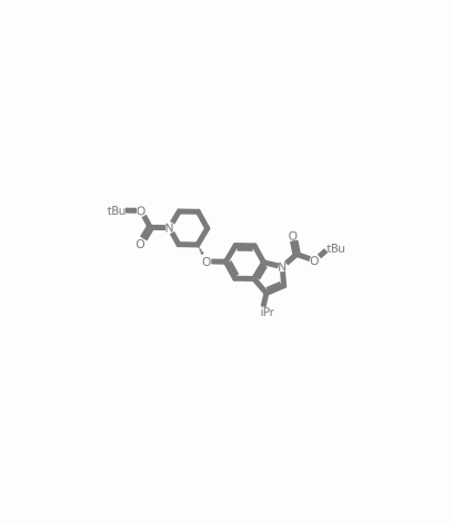 CC(C)c1cn(C(=O)OC(C)(C)C)c2ccc(O[C@H]3CCCN(C(=O)OC(C)(C)C)C3)cc12